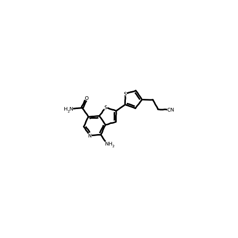 N#CCCc1csc(-c2cc3c(N)ncc(C(N)=O)c3s2)c1